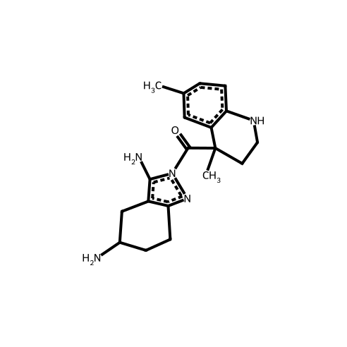 Cc1ccc2c(c1)C(C)(C(=O)n1nc3c(c1N)CC(N)CC3)CCN2